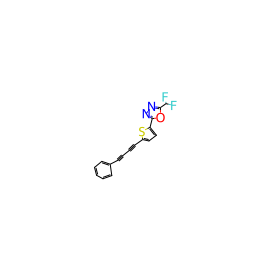 FC(F)c1nnc(-c2ccc(C#CC#Cc3ccccc3)s2)o1